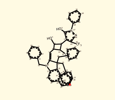 Oc1c(C2C(O)C(C=C3N(Cc4ccccc4)c4ccc5ccccc5c4C3(Cc3ccccc3)Cc3ccccc3)C2O)c(C(F)(F)F)nn1-c1ccccc1